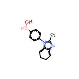 CCc1nc2c(n1-c1ccc(BO)cc1)=CCCC=2